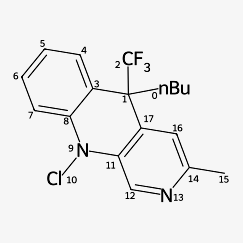 CCCCC1(C(F)(F)F)c2ccccc2N(Cl)c2cnc(C)cc21